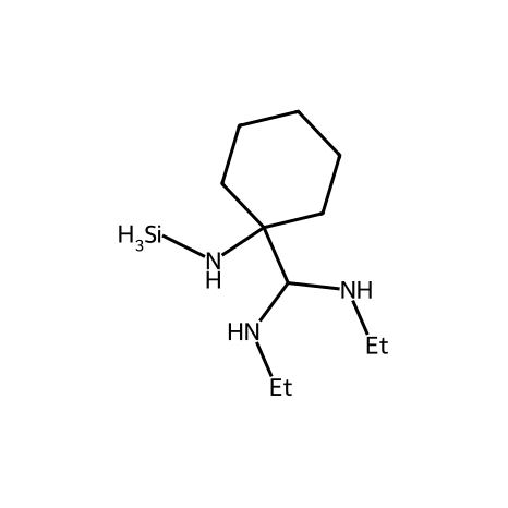 CCNC(NCC)C1(N[SiH3])CCCCC1